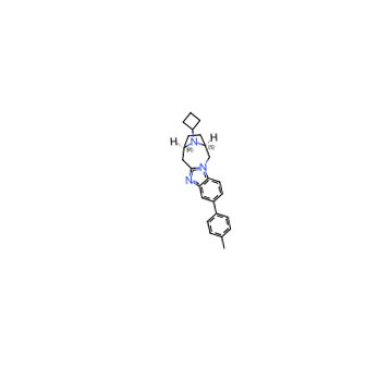 Cc1ccc(-c2ccc3c(c2)nc2n3C[C@@H]3CC[C@H](C2)N3C2CCC2)cc1